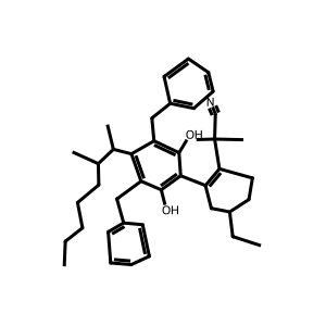 CCCCCC(C)C(C)c1c(Cc2ccccc2)c(O)c(C2=C(C(C)(C)C#N)CCC(CC)C2)c(O)c1Cc1ccccc1